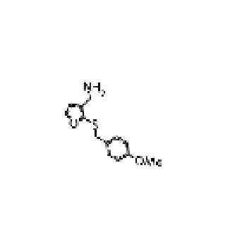 COc1ccc(CSc2occc2CN)cc1